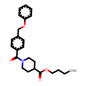 O=CCCCOC(=O)C1CCN(C(=O)c2ccc(COc3ccccc3)cc2)CC1